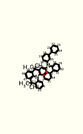 CC1(C)c2ccccc2N2c3ccc(N(c4cccc(-c5ccccc5)c4)c4ccccc4-c4ccccc4)cc3C(C)(C)c3cccc1c32